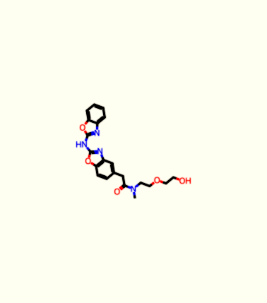 CN(CCOCCO)C(=O)Cc1ccc2oc(Nc3nc4ccccc4o3)nc2c1